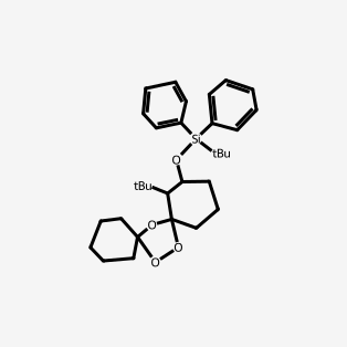 CC(C)(C)C1C(O[Si](c2ccccc2)(c2ccccc2)C(C)(C)C)CCCC12OOC1(CCCCC1)O2